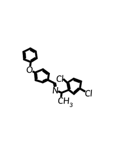 CC(N=Cc1ccc(Oc2ccccc2)cc1)c1cc(Cl)ccc1Cl